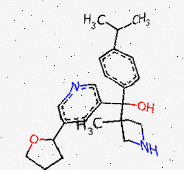 CC(C)c1ccc(C(O)(c2cncc(C3CCCO3)c2)C2(C)CNC2)cc1